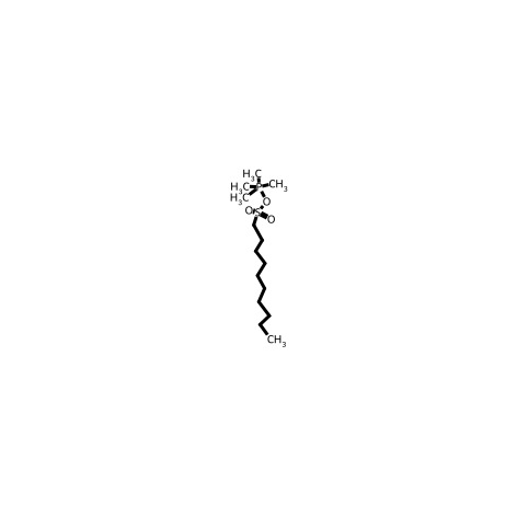 CCCCCCCCCCS(=O)(=O)OP(C)(C)(C)C